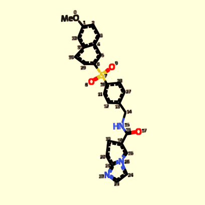 COc1ccc2cc(S(=O)(=O)c3ccc(CNC(=O)c4ccc5nccn5c4)cc3)ccc2c1